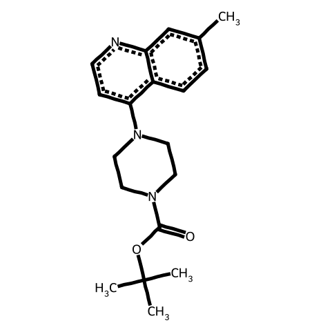 Cc1ccc2c(N3CCN(C(=O)OC(C)(C)C)CC3)ccnc2c1